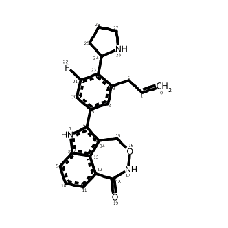 C=CCc1cc(-c2[nH]c3cccc4c3c2CONC4=O)cc(F)c1C1CCCN1